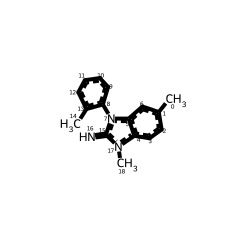 Cc1ccc2c(c1)n(-c1ccccc1C)c(=N)n2C